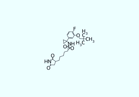 CC(C)(C)COc1cc(C2(NS(=O)(=O)CCCCCC3CC(=O)NC3=O)CC2)ccc1F